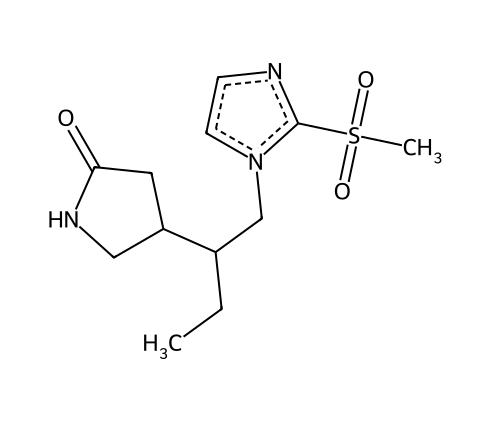 CCC(Cn1ccnc1S(C)(=O)=O)C1CNC(=O)C1